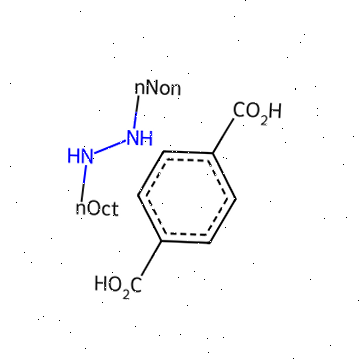 CCCCCCCCCNNCCCCCCCC.O=C(O)c1ccc(C(=O)O)cc1